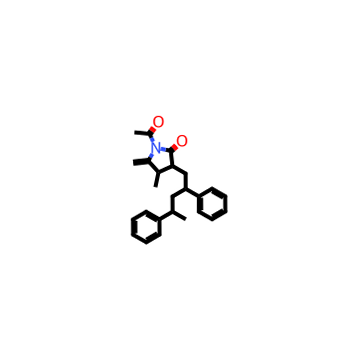 C=C1C(C)C(CC(CC(C)c2ccccc2)c2ccccc2)C(=O)N1C(C)=O